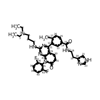 CCN(CC)CCCNc1nc(-c2cc(C(=O)NCCc3c[nH]cn3)ccc2C)c2ccc(=O)n(-c3c(F)cccc3F)c2n1